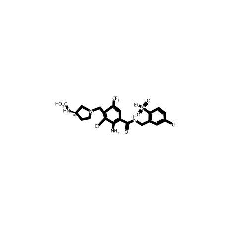 CCS(=O)(=O)c1ccc(Cl)cc1CNC(=O)c1cc(C(F)(F)F)c(CN2CC[C@@H](NC(=O)O)C2)c(Cl)c1N